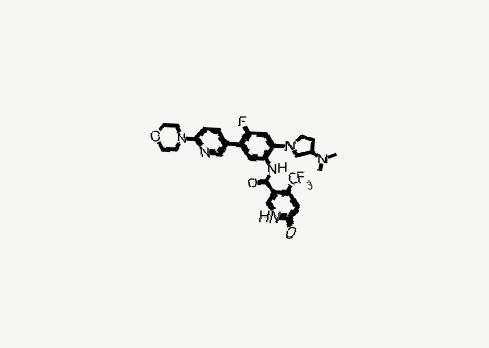 CN(C)C1CCN(c2cc(F)c(-c3ccc(N4CCOCC4)nc3)cc2NC(=O)c2c[nH]c(=O)cc2C(F)(F)F)C1